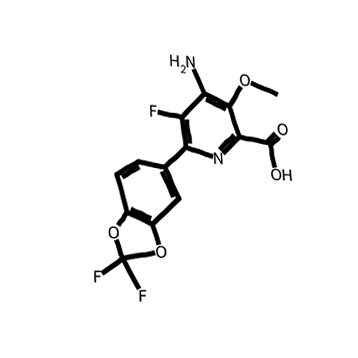 COc1c(C(=O)O)nc(-c2ccc3c(c2)OC(F)(F)O3)c(F)c1N